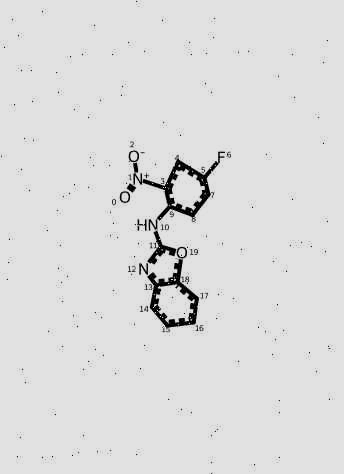 O=[N+]([O-])c1cc(F)ccc1Nc1nc2ccccc2o1